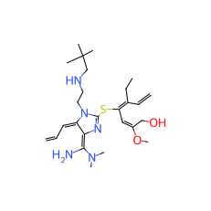 C=C/C=c1\c(=C(/N)N(C)C)nc(SC(/C=C(\CO)OC)=C(/C=C)CC)n1CCNCC(C)(C)C